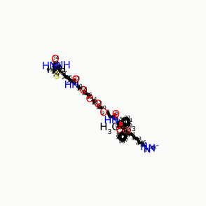 CC(C)(CNC(=O)CCOCCOCCOCCOCCNC(=O)CCCC[C@@H]1SC[C@@H]2NC(=O)N[C@@H]21)O[Si](OCCCCCCN=[N+]=[N-])(c1ccccc1)c1ccccc1